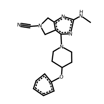 CNc1nc2c(c(N3CCC(Oc4ccccc4)CC3)n1)CN(C#N)C2